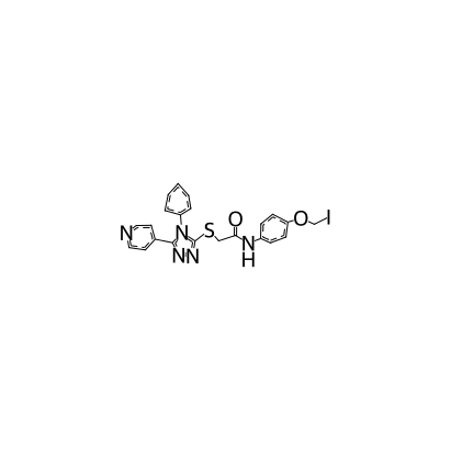 O=C(CSc1nnc(-c2ccncc2)n1-c1ccccc1)Nc1ccc(OCI)cc1